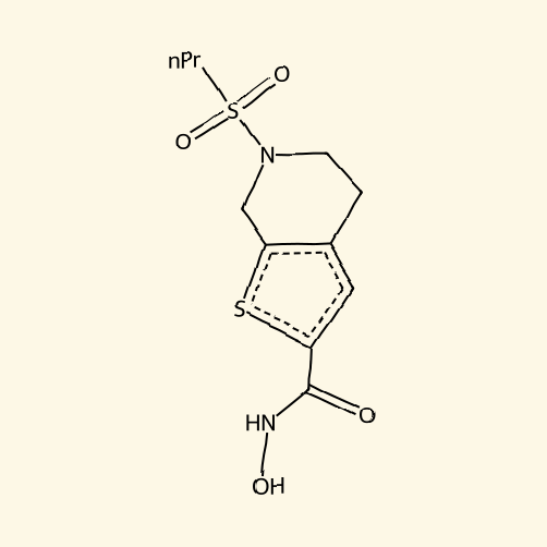 CCCS(=O)(=O)N1CCc2cc(C(=O)NO)sc2C1